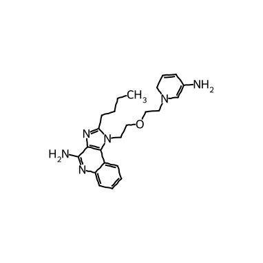 CCCCc1nc2c(N)nc3ccccc3c2n1CCOCCN1C=C(N)C=CC1